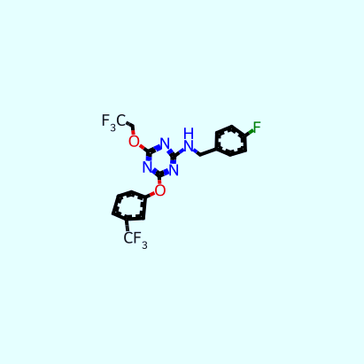 Fc1ccc(CNc2nc(OCC(F)(F)F)nc(Oc3cccc(C(F)(F)F)c3)n2)cc1